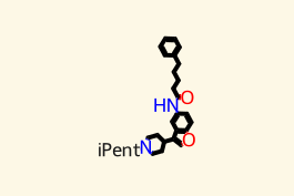 CCCC(C)N1CCC(c2coc3ccc(NC(=O)CCCCc4ccccc4)cc23)CC1